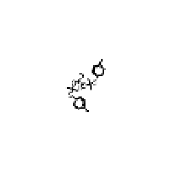 Cc1ccc(SC(C)(C)O[PH](=O)OC(C)(C)Sc2ccc(C)cc2)cc1